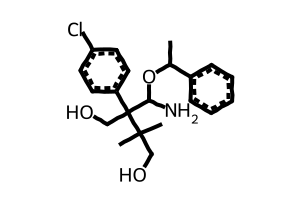 CC(OC(N)C(CO)(c1ccc(Cl)cc1)C(C)(C)CO)c1ccccc1